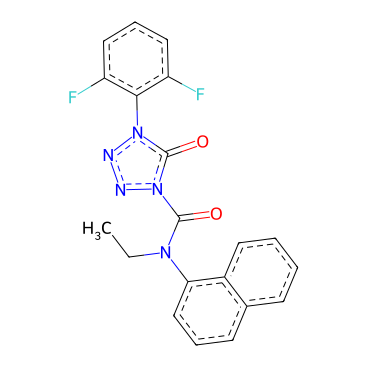 CCN(C(=O)n1nnn(-c2c(F)cccc2F)c1=O)c1cccc2ccccc12